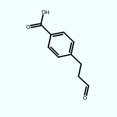 O=CCCc1ccc(C(=O)O)cc1